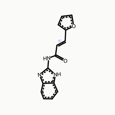 O=C(/C=C/c1ccco1)Nc1nc2ccccc2[nH]1